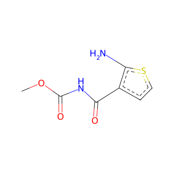 COC(=O)NC(=O)c1ccsc1N